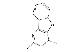 CC1=CC2=C(OC3C=CC=CC23)C(C)C1